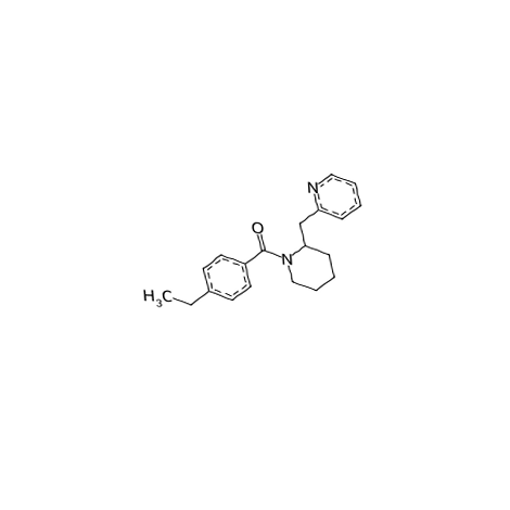 CCc1ccc(C(=O)N2CCCCC2Cc2ccccn2)cc1